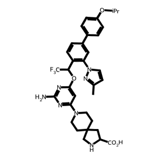 Cc1ccn(-c2cc(-c3ccc(OC(C)C)cc3)ccc2C(Oc2cc(N3CCC4(CC3)CNC(C(=O)O)C4)nc(N)n2)C(F)(F)F)n1